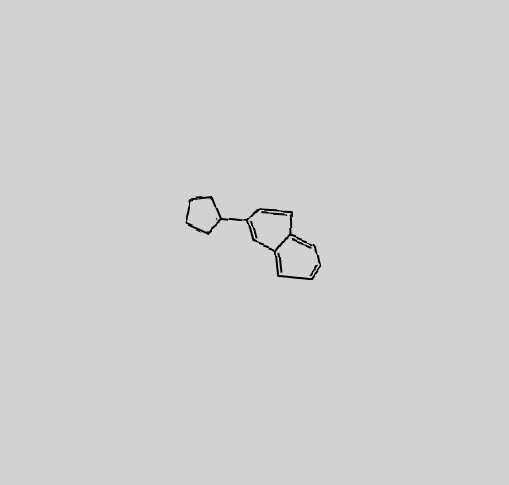 c1ccc2cc([C]3CCCC3)ccc2c1